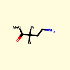 CCC(CCN)(C(=O)OC)C(C)C